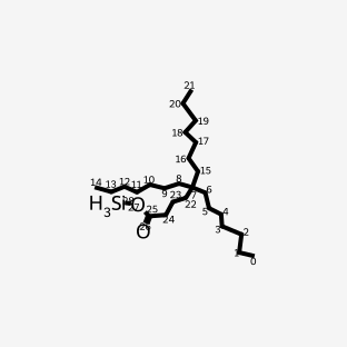 CCCCCCCC(CCCCCCC)(CCCCCCC)CCCC(=O)O[SiH3]